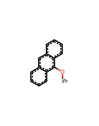 CC(C)Oc1c2ccccc2cc2ccccc12